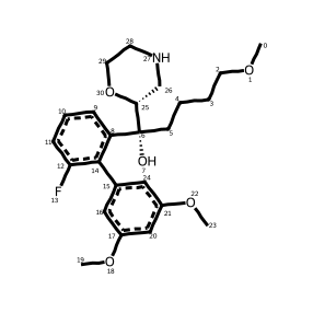 COCCCC[C@@](O)(c1cccc(F)c1-c1cc(OC)cc(OC)c1)[C@H]1CNCCO1